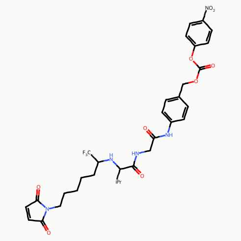 CC(C)C(NC(CCCCCN1C(=O)C=CC1=O)C(F)(F)F)C(=O)NCC(=O)Nc1ccc(COC(=O)Oc2ccc([N+](=O)[O-])cc2)cc1